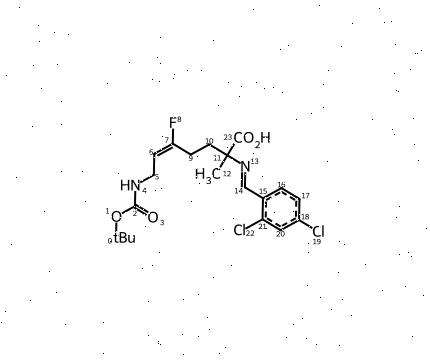 CC(C)(C)OC(=O)NC/C=C(/F)CCC(C)(N=Cc1ccc(Cl)cc1Cl)C(=O)O